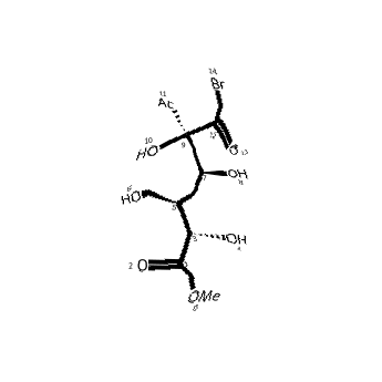 COC(=O)[C@@H](O)[C@@H](O)[C@H](O)[C@](O)(C(C)=O)C(=O)Br